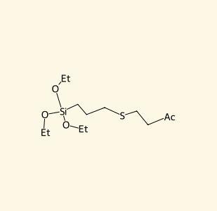 CCO[Si](CCCSCCC(C)=O)(OCC)OCC